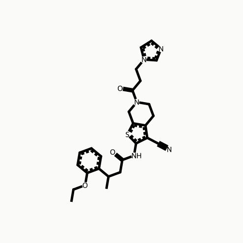 CCOc1ccccc1C(C)CC(=O)Nc1sc2c(c1C#N)CCN(C(=O)CCn1ccnc1)C2